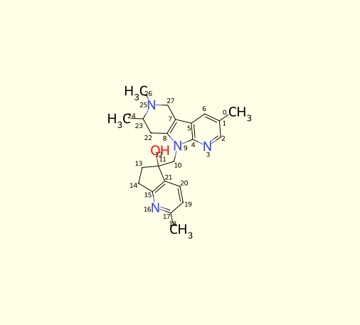 Cc1cnc2c(c1)c1c(n2CC2(O)CCc3nc(C)ccc32)CC(C)N(C)C1